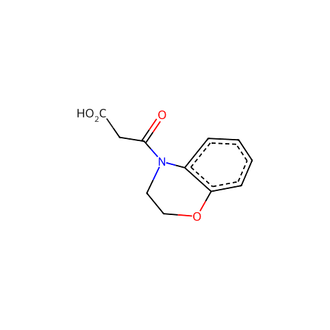 O=C(O)CC(=O)N1CCOc2ccccc21